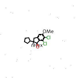 CCCCCCC1(C2CCCC2)Cc2cc(OC)c(Cl)c(Cl)c2C1=O